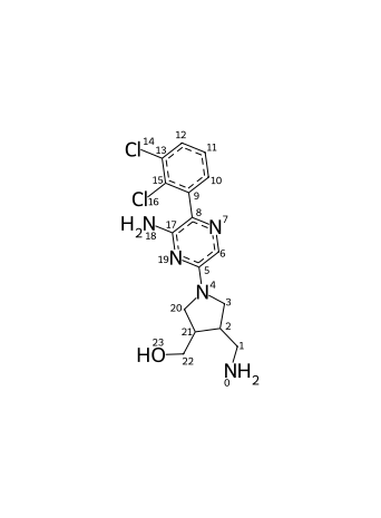 NCC1CN(c2cnc(-c3cccc(Cl)c3Cl)c(N)n2)CC1CO